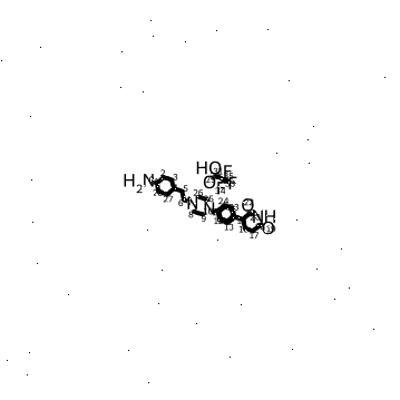 NC1CCC(CCN2CCN(c3ccc(C4CCC(=O)NC4=O)cc3)CC2)CC1.O=C(O)C(F)(F)F